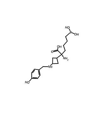 N[C@](CCCCB(O)O)(C(=O)O)C1CC(NCc2ccc(O)cc2)C1